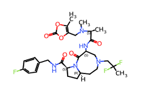 Cc1oc(=O)oc1CN(C)[C@@H](C)C(=O)N[C@H]1CN(CC(C)(F)F)CC[C@H]2CC[C@@H](C(=O)NCc3ccc(F)cc3)N2C1=O